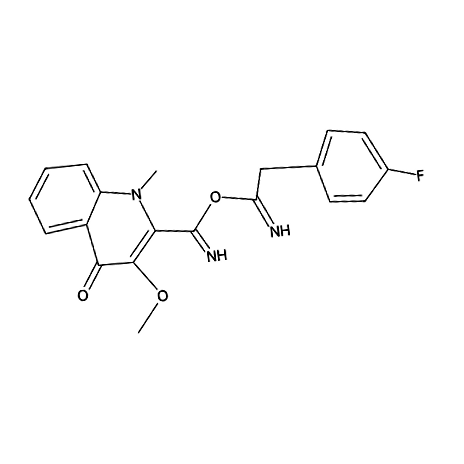 COc1c(C(=N)OC(=N)Cc2ccc(F)cc2)n(C)c2ccccc2c1=O